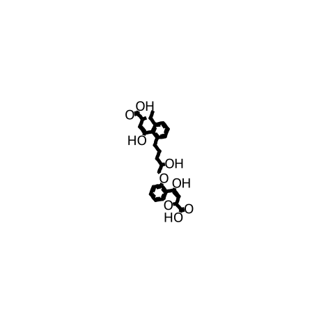 CCc1cccc(CCCC(O)COc2cccc3c2C(O)=CC(C(=O)O)O3)c1/C(O)=C\C(C)C(=O)O